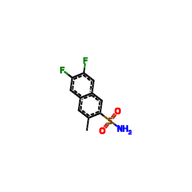 Cc1cc2cc(F)c(F)cc2cc1S(N)(=O)=O